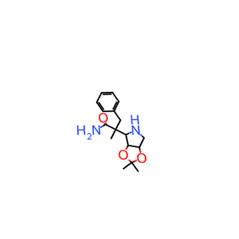 CC1(C)OC2CNC(C(C)(Cc3ccccc3)C(N)=O)C2O1